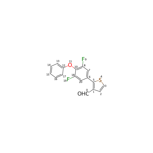 O=Cc1ccsc1-c1cc(F)c(Oc2ccccc2)c(F)c1